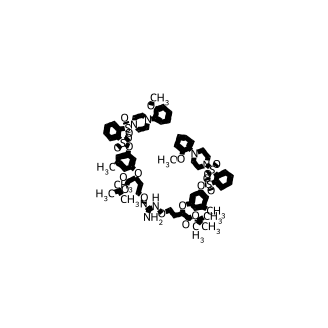 COc1ccccc1N1CCN(S(=O)(=O)c2ccccc2S(=O)(=O)Oc2cc(C)cc(OC(CCON=C(N)NOCCC(Oc3cc(C)cc(OS(=O)(=O)c4ccccc4S(=O)(=O)N4CCN(c5ccccc5OC)CC4)c3)C(=O)OC(C)(C)C)C(=O)OC(C)(C)C)c2)CC1